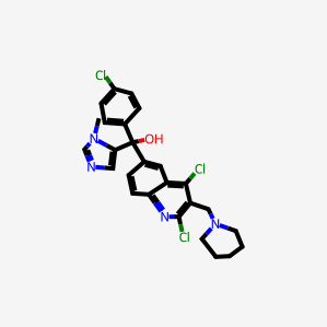 Cn1cncc1C(O)(c1ccc(Cl)cc1)c1ccc2nc(Cl)c(CN3CCCCC3)c(Cl)c2c1